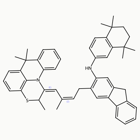 CC(=C/Cc1cc2c(cc1Nc1ccc3c(c1)C(C)(C)CCC3(C)C)Cc1ccccc1-2)/C=C1\C(C)Sc2cccc3c2N1c1ccccc1C3(C)C